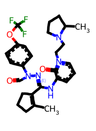 CC1=C(/C(=N\N(C=O)c2ccc(OC(F)(F)F)cc2)Nc2cccn(CCN3CCCC3C)c2=O)CCC1